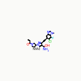 C=CC(=O)N1CC[C@H](n2nc(C#Cc3cc4ncn(C)c4c(F)c3Cl)c(C(N)O)c2NC)C1